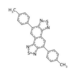 Cc1ccc(-c2cc3c(cc(-c4ccc(C)cc4)c4nsnc43)c3nsnc23)cc1